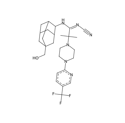 CC(C)(/C(=N\C#N)NC1C2CC3CC1CC(CO)(C3)C2)N1CCN(c2ccc(C(F)(F)F)cn2)CC1